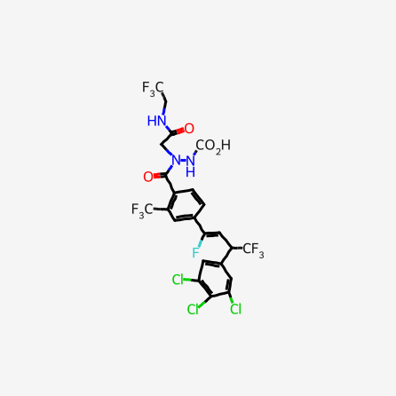 O=C(O)NN(CC(=O)NCC(F)(F)F)C(=O)c1ccc(/C(F)=C/C(c2cc(Cl)c(Cl)c(Cl)c2)C(F)(F)F)cc1C(F)(F)F